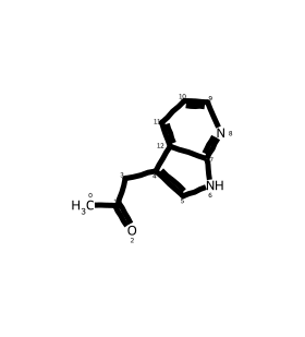 CC(=O)Cc1c[nH]c2ncccc12